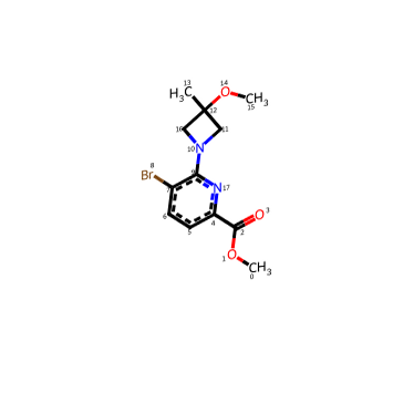 COC(=O)c1ccc(Br)c(N2CC(C)(OC)C2)n1